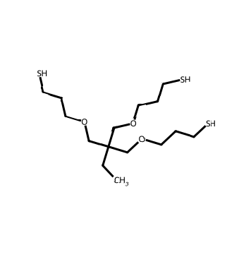 CCC(COCCCS)(COCCCS)COCCCS